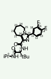 CC(C)NC(=O)[C@@H](NC(=O)c1nc(-c2ccc(F)c(F)c2)n2c1CCCCC2)C(C)(C)C